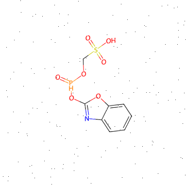 O=[PH](OCS(=O)(=O)O)Oc1nc2ccccc2o1